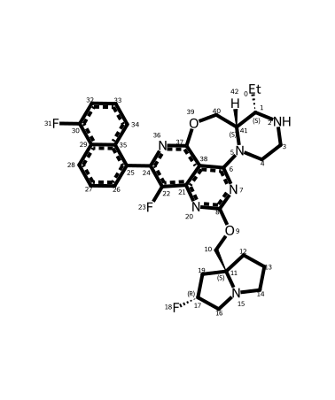 CC[C@@H]1NCCN2c3nc(OC[C@@]45CCCN4C[C@H](F)C5)nc4c(F)c(-c5cccc6c(F)cccc56)nc(c34)OC[C@H]12